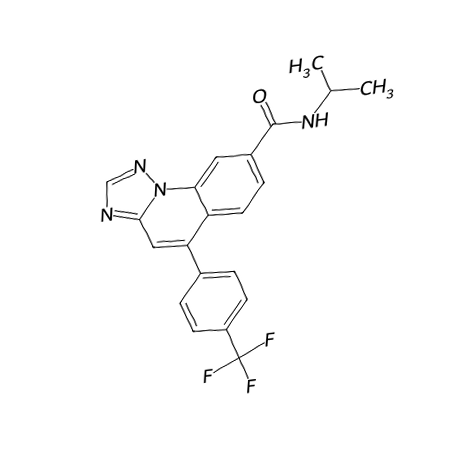 CC(C)NC(=O)c1ccc2c(-c3ccc(C(F)(F)F)cc3)cc3ncnn3c2c1